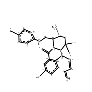 C[C@@H]1CC(F)(F)CN(C(=O)c2cc(F)ccc2N/N=C\C=N)C1CNc1ncc(Cl)cn1